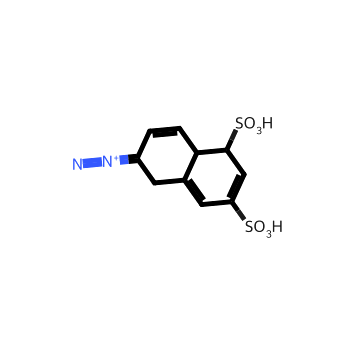 [N-]=[N+]=C1C=CC2C(=CC(S(=O)(=O)O)=CC2S(=O)(=O)O)C1